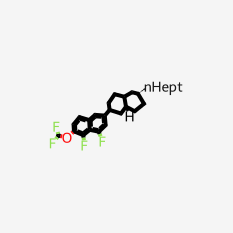 CCCCCCC[C@@H]1CC[C@@H]2CC(c3cc(F)c4c(F)c(OC(F)F)ccc4c3)CCC2C1